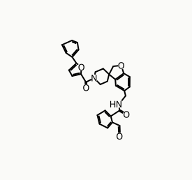 O=Cc1ccccc1C(=O)NCc1ccc2c(c1)C1(CCN(C(=O)c3ccc(-c4ccccc4)o3)CC1)CO2